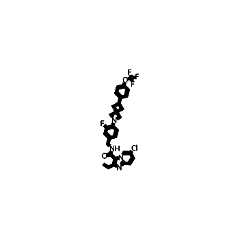 CCc1nc2ccc(Cl)cn2c1C(=O)NCc1ccc(N2CC3(CC(c4ccc(OC(F)(F)F)cc4)C3)C2)c(F)c1